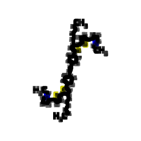 CCCCCCc1cc(-c2ccc(C#Cc3ccc(-c4cc(CCCCCC)c(-c5ccc(-c6cccn6CC)s5)s4)cc3)cc2)sc1-c1ccc(-c2cccn2CC)s1